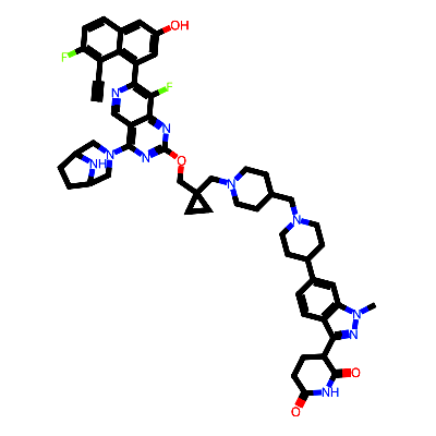 C#Cc1c(F)ccc2cc(O)cc(-c3ncc4c(N5CC6CCC(C5)N6)nc(OCC5(CN6CCC(CN7CCC(c8ccc9c(C%10CCC(=O)NC%10=O)nn(C)c9c8)CC7)CC6)CC5)nc4c3F)c12